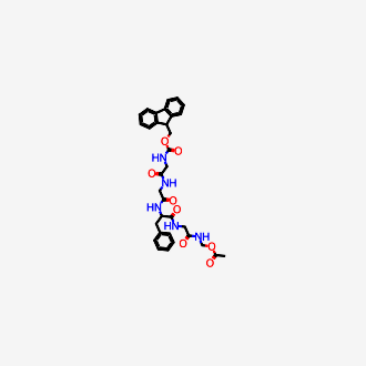 CC(=O)OCNC(=O)CNC(=O)C(Cc1ccccc1)NC(=O)CNC(=O)CNC(=O)OCC1c2ccccc2-c2ccccc21